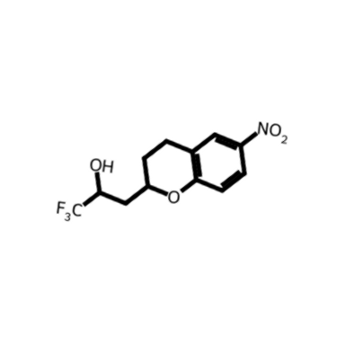 O=[N+]([O-])c1ccc2c(c1)CCC(CC(O)C(F)(F)F)O2